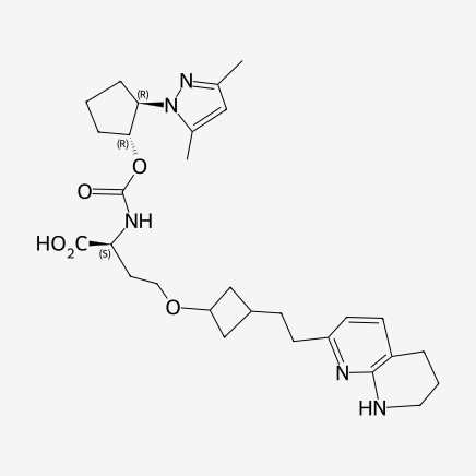 Cc1cc(C)n([C@@H]2CCC[C@H]2OC(=O)N[C@@H](CCOC2CC(CCc3ccc4c(n3)NCCC4)C2)C(=O)O)n1